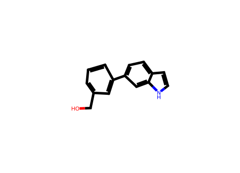 OCc1cc[c]c(-c2ccc3cc[nH]c3c2)c1